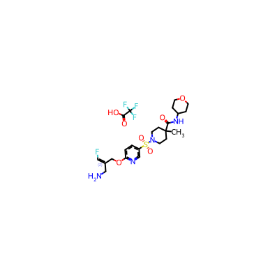 CC1(C(=O)NC2CCOCC2)CCN(S(=O)(=O)c2ccc(OC/C(=C\F)CN)nc2)CC1.O=C(O)C(F)(F)F